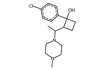 CC(C1CCC1(O)c1ccc(Cl)cc1)N1CCN(C)CC1